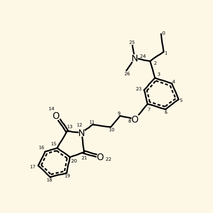 CCC(c1cccc(OCCCN2C(=O)c3ccccc3C2=O)c1)N(C)C